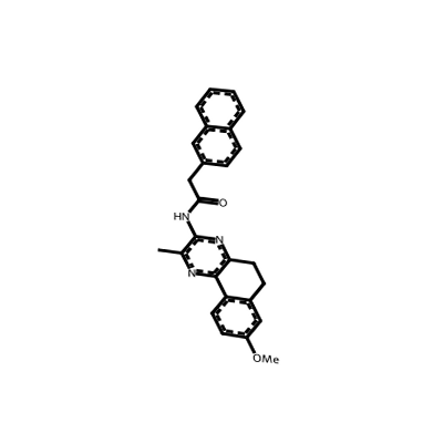 COc1ccc2c(c1)CCc1nc(NC(=O)Cc3ccc4ccccc4c3)c(C)nc1-2